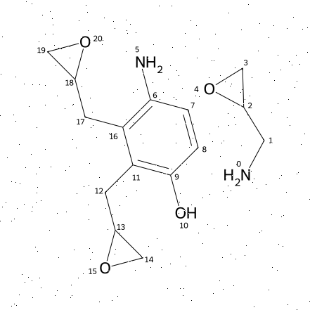 NCC1CO1.Nc1ccc(O)c(CC2CO2)c1CC1CO1